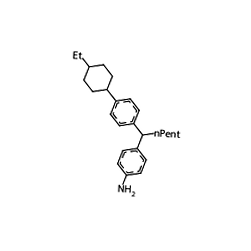 CCCCCC(c1ccc(N)cc1)c1ccc(C2CCC(CC)CC2)cc1